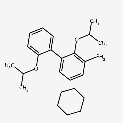 C1CCCCC1.CC(C)Oc1ccccc1-c1cccc(P)c1OC(C)C